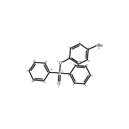 CC(C)(C)c1ccc(OP(=O)(c2ccccc2)c2ccccc2)cc1